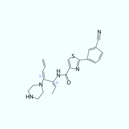 C=C/C=C(\C(=C/C)NC(=O)c1csc(-c2cccc(C#N)c2)n1)N1CCNCC1